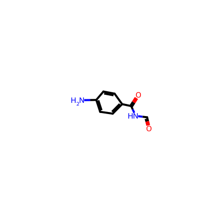 Nc1ccc(C(=O)NC=O)cc1